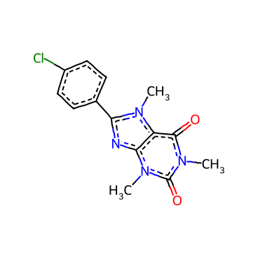 Cn1c(=O)c2c(nc(-c3ccc(Cl)cc3)n2C)n(C)c1=O